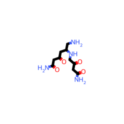 NCC(CC(=O)CC(N)=O)NCC(=O)CC(N)=O